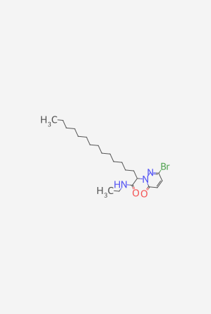 CCCCCCCCCCCCCCC(C(=O)NCC)n1nc(Br)ccc1=O